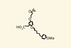 COc1ccc(CCCCC=COc2ccc(OCCCC(=O)N(C)C)cc2CCC(=O)O)cc1